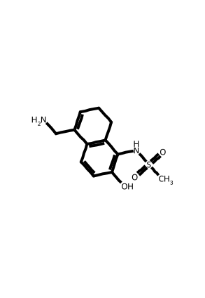 CS(=O)(=O)Nc1c(O)ccc2c1CCC=C2CN